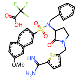 COc1ccc2ccc(S(=O)(=O)N(Cc3ccccc3)C3CCN(Cc4ccc(C(=N)N)s4)C3=O)cc2c1.O=C(O)C(F)(F)F